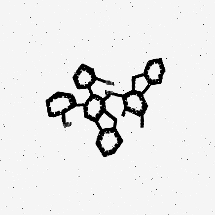 Cc1cc2c(c(Nc3c4c(cc(-c5ccccc5C(C)(C)C)c3-c3ccccc3C(C)(C)C)-c3ccccc3C4)c1C)Cc1ccccc1-2